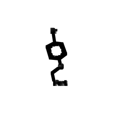 CCCC(C)COc1ccc(Br)cc1